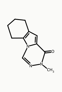 Cn1ncn2c3c(cc2c1=O)CCCC3